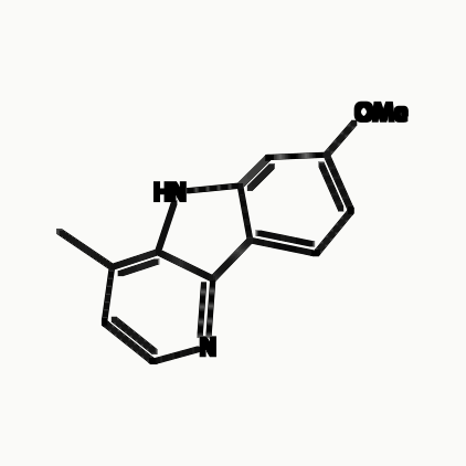 COc1ccc2c(c1)[nH]c1c(C)ccnc12